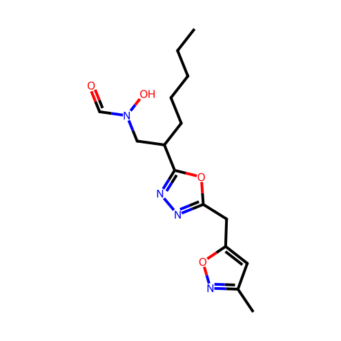 CCCCCC(CN(O)C=O)c1nnc(Cc2cc(C)no2)o1